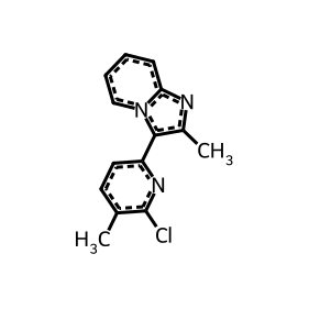 Cc1ccc(-c2c(C)nc3ccccn23)nc1Cl